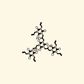 C=CCn1c(=O)n(CC=C)c(=O)n(CC(O)Cn2c(=O)n(CC(O)Cn3c(=O)n(CC=C)c(=O)n(CC=C)c3=O)c(=O)n(CC(O)Cn3c(=O)n(CC=C)c(=O)n(CC=C)c3=O)c2=O)c1=O